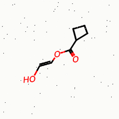 O=C(OC=CO)C1CCC1